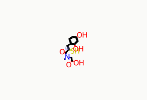 CN(CC(=O)O)C(=O)/C(S)=C/c1ccc(O)cc1O